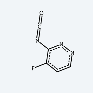 O=C=Nc1nnccc1F